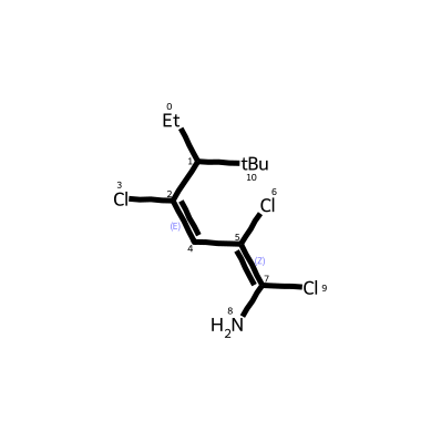 CCC(/C(Cl)=C\C(Cl)=C(/N)Cl)C(C)(C)C